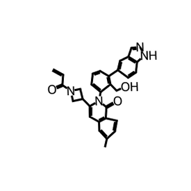 C=CC(=O)N1CC(c2cc3cc(C)ccc3c(=O)n2-c2cccc(-c3ccc4[nH]ncc4c3)c2CO)C1